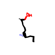 CC/C=C\C[CH]O